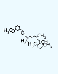 COc1cccc(COCC=C(C)C=CC=C(C)C=CC2=C(C)CCCC2(C)C)c1